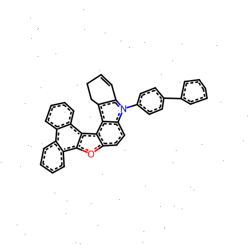 C1=Cc2c(c3c4c(ccc3n2-c2ccc(-c3ccccc3)cc2)oc2c3ccccc3c3ccccc3c24)CC1